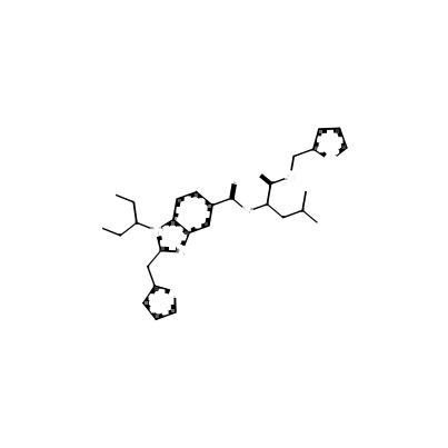 CCC(CC)n1c(Cc2cccs2)nc2cc(C(=O)NC(CC(C)C)C(=O)NCc3ccco3)ccc21